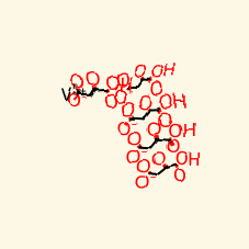 O=C([O-])CC(=O)C(=O)O.O=C([O-])CC(=O)C(=O)O.O=C([O-])CC(=O)C(=O)O.O=C([O-])CC(=O)C(=O)O.O=C([O-])CC(=O)C(=O)O.[V+5]